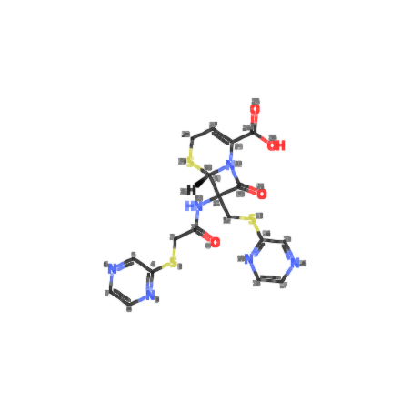 O=C(CSc1cnccn1)NC1(CSc2cnccn2)C(=O)N2C(C(=O)O)=CCS[C@H]21